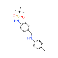 Cc1ccc(NCc2ccc(NS(=O)(=O)C(C)(C)C)cc2)cc1